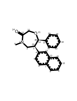 CN1C[C@H](c2ccc3ccccc3c2)[C@H](c2ccccc2)OCC1=O